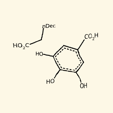 CCCCCCCCCCCC(=O)O.O=C(O)c1cc(O)c(O)c(O)c1